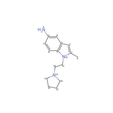 Cc1cc2cc(N)ccc2n1CCN1CCCC1